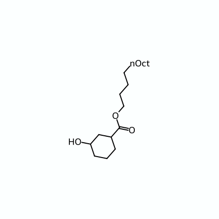 CCCCCCCCCCCCOC(=O)C1CCCC(O)C1